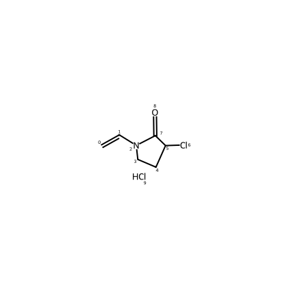 C=CN1CCC(Cl)C1=O.Cl